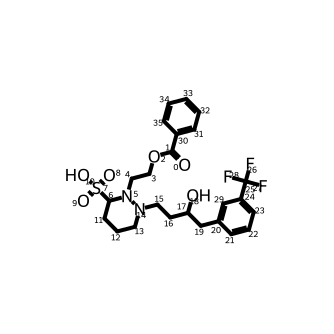 O=C(OCCN1C(S(=O)(=O)O)CCCN1CCC(O)Cc1cccc(C(F)(F)F)c1)c1ccccc1